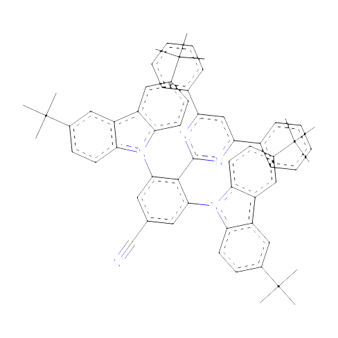 CC(C)(C)c1ccc2c(c1)c1cc(C(C)(C)C)ccc1n2-c1cc(C#N)cc(-n2c3ccc(C(C)(C)C)cc3c3cc(C(C)(C)C)ccc32)c1-c1nc(-c2ccccc2)cc(-c2ccccc2)n1